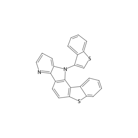 c1ccc2c(-n3c4cccnc4c4ccc5sc6ccccc6c5c43)csc2c1